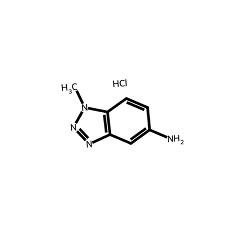 Cl.Cn1nnc2cc(N)ccc21